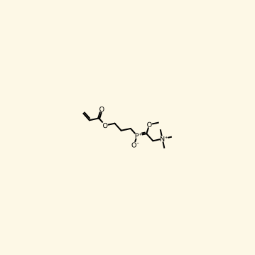 C=CC(=O)OCCC/[P+]([O-])=C(/C[N+](C)(C)C)OC